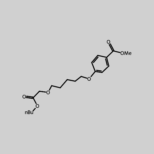 CCCCOC(=O)COCCCCCOc1ccc(C(=O)OC)cc1